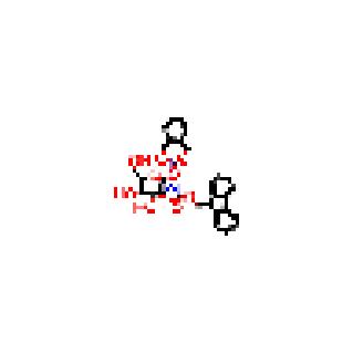 O=C(N[C@]1(O)C(Op2occ3ccccc3co2)O[C@H](CO)[C@@H](O)[C@@H]1O)OCC1c2ccccc2-c2ccccc21